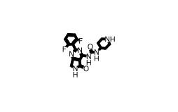 O=C(Nc1nc(-c2c(F)cccc2F)nc2c1C(=O)NC2)NC1CCNCC1